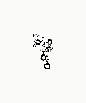 CCO[C@@H]1OC(=O)C[C@@H]1NC(=O)[C@@H]1CCCN1C(=O)CNC(=O)c1cccc(Oc2ccccc2)c1Cl